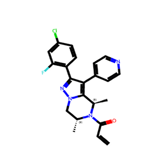 C=CC(=O)N1[C@H](C)Cn2nc(-c3ccc(Cl)cc3F)c(-c3ccncc3)c2[C@H]1C